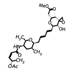 COC(=O)C[C@@H]1C[C@@]2(CO2)[C@H](O)[C@@H](/C=C/C=C/C[C@@H]2O[C@H](C)[C@H](NC(=O)/C=C\[C@H](C)OC(C)=O)C[C@@H]2C)O1